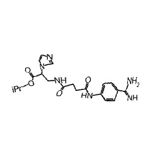 CC(C)OC(=O)C(CNC(=O)CCC(=O)Nc1ccc(C(=N)N)cc1)n1ccnc1